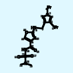 CC(C)c1cn(C(C)C)nc1CNc1nc(C(=O)NS(=O)(=O)N(C)C)co1